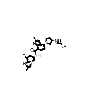 COCCN[C@H]1CCN(c2ccc(C(=O)Nc3cc(F)c4nc(C)cn4c3)c3nn(C)cc23)C1